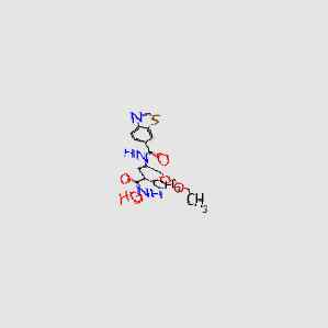 CCOCOCC(CC(C)C(=O)NO)NC(=O)c1ccc2ncsc2c1